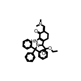 CCOC(=O)C1C2=C(NN1C(c1ccccc1)(c1ccccc1)c1ccccc1)C(=O)C(=CN(C)C)CC2